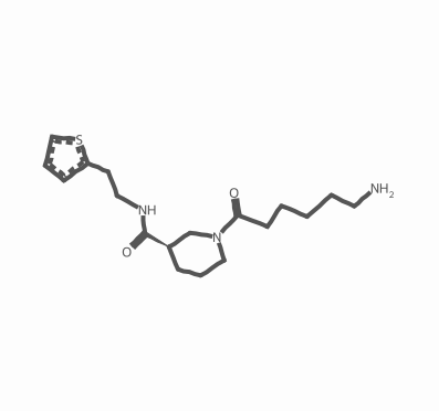 NCCCCCC(=O)N1CCC[C@@H](C(=O)NCCc2cccs2)C1